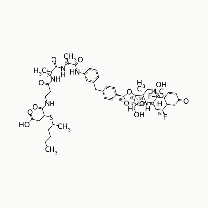 CCCCC(C)SC(CC(=O)O)C(=O)NCCC(=O)N[C@@H](C)C(=O)N[C@@H](C)C(=O)Nc1cccc(Cc2ccc([C@@H]3O[C@@H]4C[C@H]5[C@@H]6C[C@H](F)C7=CC(=O)C=C[C@]7(C)[C@@]6(F)[C@@H](O)C[C@]5(C)[C@]4(C(=O)CO)O3)cc2)c1